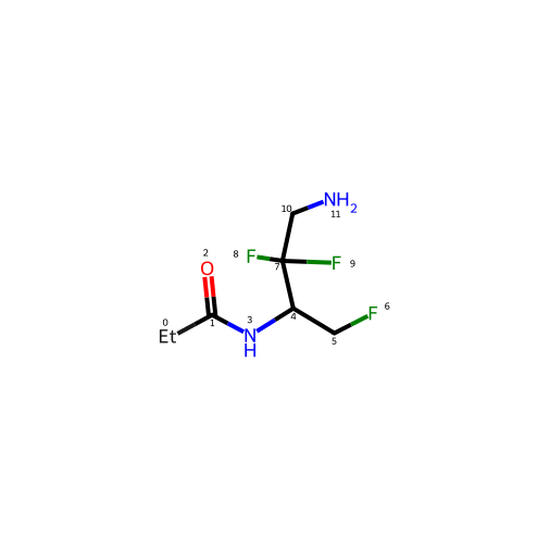 CCC(=O)NC(CF)C(F)(F)CN